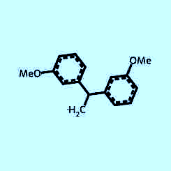 [CH2]C(c1cccc(OC)c1)c1cccc(OC)c1